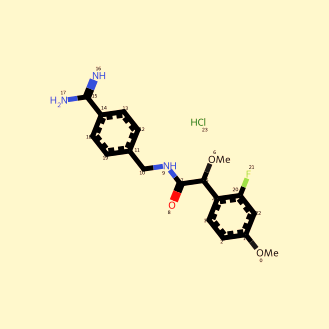 COc1ccc(C(OC)C(=O)NCc2ccc(C(=N)N)cc2)c(F)c1.Cl